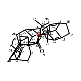 CCC(=O)C12CCC3(C(=O)OC4C5=C6CCC(=C4CC5)C6C(C)(C)C4C5=C6CCC(=C4CC5)C6OC(C)C)C4=C1C2CC3C4